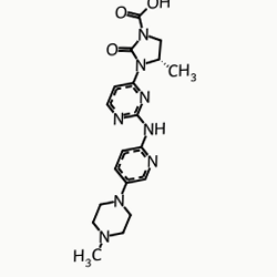 C[C@H]1CN(C(=O)O)C(=O)N1c1ccnc(Nc2ccc(N3CCN(C)CC3)cn2)n1